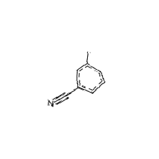 [CH2]c1cccc(C#N)c1